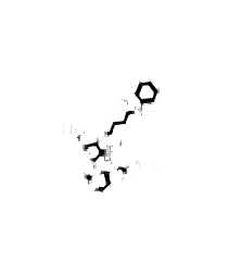 CC(C)COC(=O)Nc1ccnc(=O)n1[C@@H]1O[C@H](CO)[C@@H](OC(=O)CCC(=O)Nc2ccccc2)C1(F)F